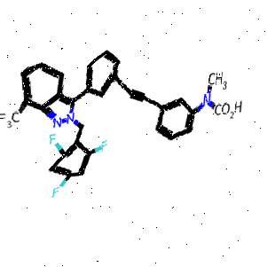 CN(C(=O)O)c1cccc(C#Cc2cccc(-c3c4cccc(C(F)(F)F)c4nn3Cc3c(F)cc(F)cc3F)c2)c1